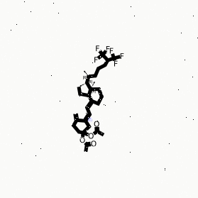 C=C1CCC(OC(C)=O)(OC(C)=O)C/C1=C/C=C1CCC[C@@]2(C)C1CC[C@@H]2[C@H](C)CCCC(C(F)(F)F)C(F)(F)F